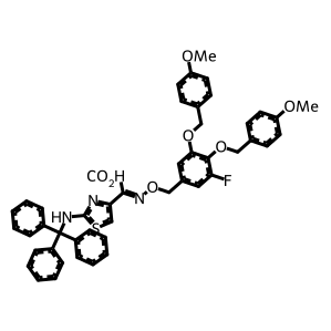 COc1ccc(COc2cc(CO/N=C(\C(=O)O)c3csc(NC(c4ccccc4)(c4ccccc4)c4ccccc4)n3)cc(F)c2OCc2ccc(OC)cc2)cc1